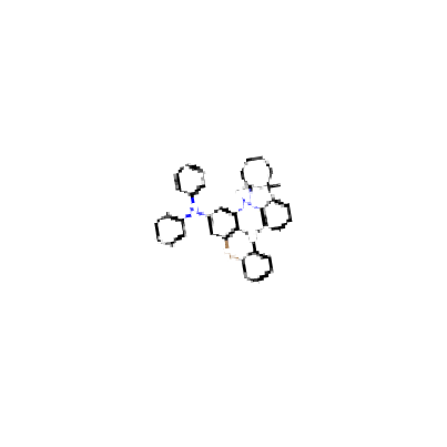 CC12CCCCC1(C)N1c3cc(N(c4ccccc4)c4ccccc4)cc4c3B(c3ccccc3S4)c3cccc2c31